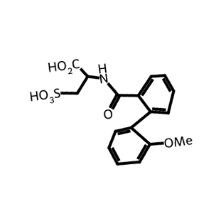 COc1ccccc1-c1ccccc1C(=O)NC(CS(=O)(=O)O)C(=O)O